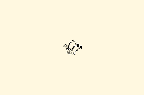 CCCCP.CCCCP.O=C(O)O